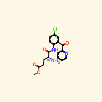 COC(=O)CC[C@H](N)C(=O)Nc1ccc(Cl)cc1C(=O)c1ccccn1